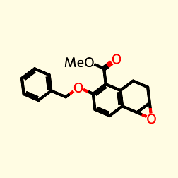 COC(=O)c1c(OCc2ccccc2)ccc2c1CCC1OC21